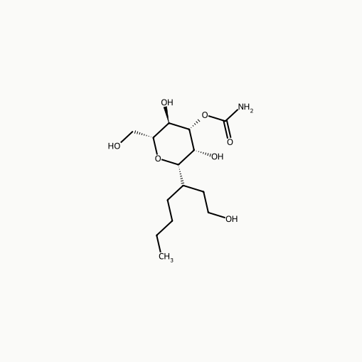 CCCCC(CCO)[C@@H]1O[C@H](CO)[C@@H](O)[C@H](OC(N)=O)[C@@H]1O